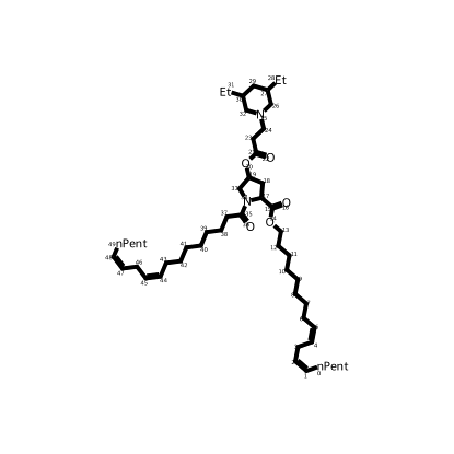 CCCCC/C=C\C/C=C\CCCCCCCCOC(=O)C1CC(OC(=O)CCN2CC(CC)CC(CC)C2)CN1C(=O)CCCCCCC/C=C\C/C=C\CCCCC